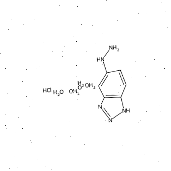 Cl.NNc1ccc2[nH]nnc2c1.O.O.O.O